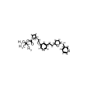 CC(C)(C)OC(=O)N1CC[C@H]1COc1cncc(CC[C@H]2CC[C@H](Cc3cccnc3)O2)c1